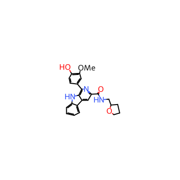 COc1cc(-c2nc(C(=O)NCC3CCCO3)cc3c2[nH]c2ccccc23)ccc1O